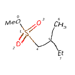 [CH2]OS(=O)(=O)CC(C)CC